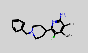 CNc1c(Cl)c(C2CCN(Cc3ccccc3)CC2)nc(N)c1[N+](=O)[O-]